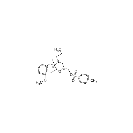 CCCN1C[C@H](COS(=O)(=O)c2ccc(C)cc2)OC2Cc3c(cccc3OC)C[C@@H]21